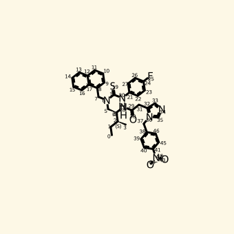 CC[C@H](C)[C@@H](CN(Cc1cccc2ccccc12)C(=S)Nc1ccc(F)cc1)NC(=O)Cc1cncn1Cc1ccc([N+](=O)[O-])cc1